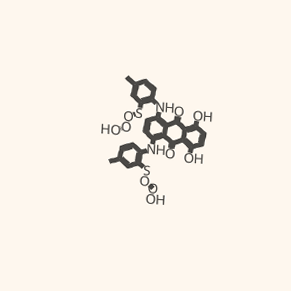 Cc1ccc(Nc2ccc(Nc3ccc(C)cc3SOOO)c3c2C(=O)c2c(O)ccc(O)c2C3=O)c(SOOO)c1